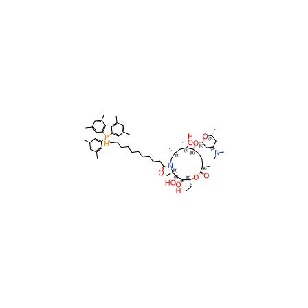 CC[C@H]1OC(=O)[C@H](C)CC[C@@H](O[C@H]2C[C@@H](N(C)C)C[C@@H](C)O2)[C@](C)(O)C[C@@H](C)CN(C(=O)CCCCCCCCCC[PH](c2cc(C)cc(C)c2)(c2cc(C)cc(C)c2)c2cc(C)cc(C)c2)[C@H](C)[C@@H](O)[C@]1(C)O